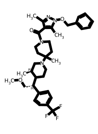 COC[C@@H](c1ccc(C(F)(F)F)cc1)C1CCN(C2(C)CCN(C(=O)c3c(C)nn(OCc4ccccc4)c3C)CC2)C[C@@H]1C